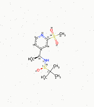 C[C@H](N[S@+]([O-])C(C)(C)C)c1ccnc(S(C)(=O)=O)c1